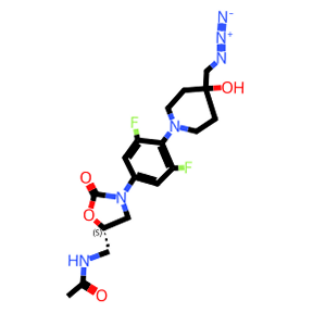 CC(=O)NC[C@H]1CN(c2cc(F)c(N3CCC(O)(CN=[N+]=[N-])CC3)c(F)c2)C(=O)O1